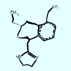 CCc1cccc2c1C[C@@H](CC)OC2C1=NCCN1